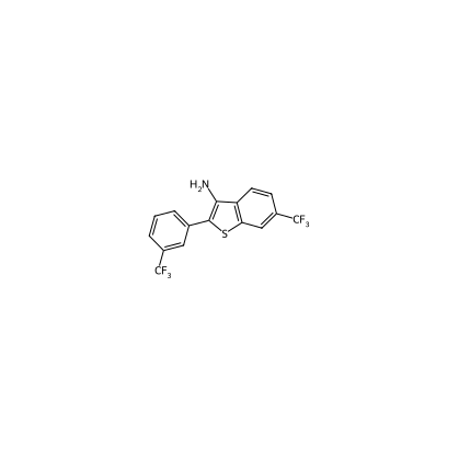 Nc1c(-c2cccc(C(F)(F)F)c2)sc2cc(C(F)(F)F)ccc12